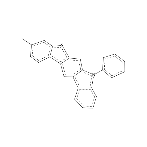 Cc1ccc2c(c1)sc1cc3c(cc12)c1ccccc1n3-c1ccccc1